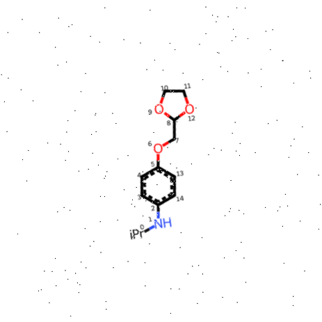 CC(C)Nc1ccc(OCC2OCCO2)cc1